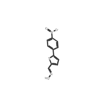 O=[N+]([O-])c1ccc(-c2ccc(/C=N/O)s2)cc1